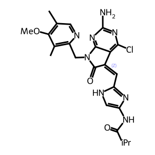 COc1c(C)cnc(CN2C(=O)/C(=C\c3nc(NC(=O)C(C)C)c[nH]3)c3c(Cl)nc(N)nc32)c1C